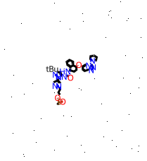 CS(=O)OCCCn1cc(-n2nc(C(C)(C)C)cc2NC(=O)N[C@H]2CC[C@@H](Oc3ccc4nnc(N5CCCCC5)n4c3)c3ccccc32)cn1